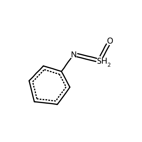 O=[SH2]=Nc1ccccc1